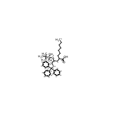 CCCCCCCC(CC(CSC(c1ccccc1)(c1ccccc1)c1ccccc1)O[Si](C)(C)C(C)(C)C)C(=O)O